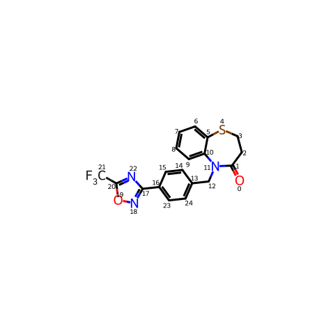 O=C1CCSc2ccccc2N1Cc1ccc(-c2noc(C(F)(F)F)n2)cc1